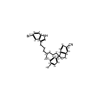 CCN(CCCc1c[nH]c2ccc(Br)cc12)CCCC1(c2ccc(F)cc2)OCc2cc(C#N)ccc21